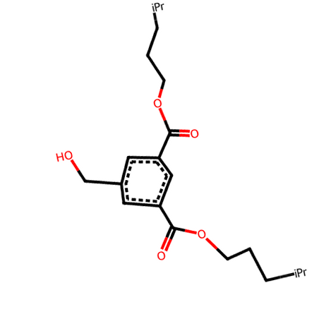 CC(C)CCCOC(=O)c1cc(CO)cc(C(=O)OCCCC(C)C)c1